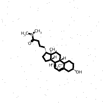 CN(C)C(=O)CCC[C@H]1CC[C@H]2[C@@H]3CC=C4C[C@@H](O)CC[C@]4(C)[C@H]3CC[C@]12C